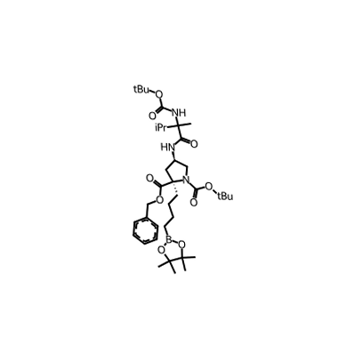 CC(C)C(C)(NC(=O)OC(C)(C)C)C(=O)N[C@H]1CN(C(=O)OC(C)(C)C)[C@@](CCCCB2OC(C)(C)C(C)(C)O2)(C(=O)OCc2ccccc2)C1